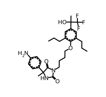 CCCc1cc(C(C)(O)C(F)(F)F)cc(CCC)c1OCCCCN1C(=O)NC(C)(c2ccc(N)cc2)C1=O